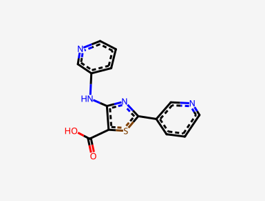 O=C(O)c1sc(-c2cccnc2)nc1Nc1cccnc1